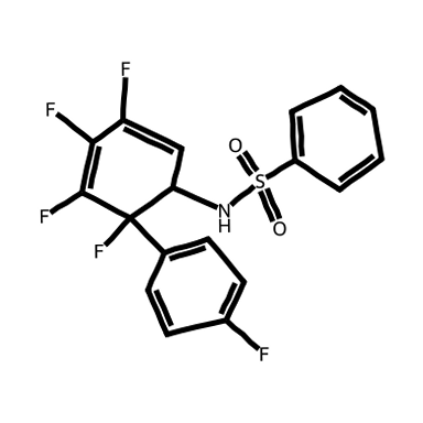 O=S(=O)(NC1C=C(F)C(F)=C(F)C1(F)c1ccc(F)cc1)c1ccccc1